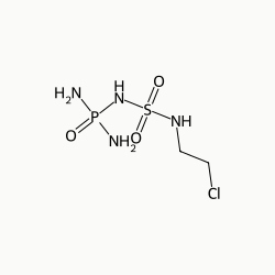 NP(N)(=O)NS(=O)(=O)NCCCl